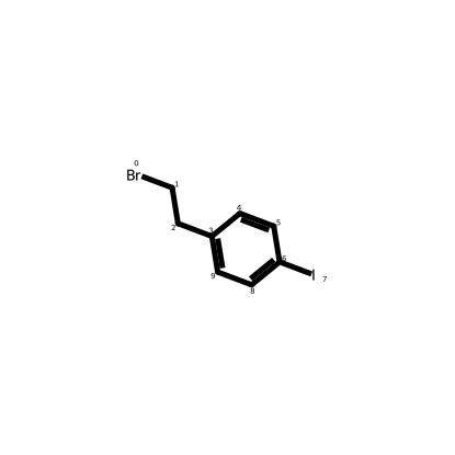 BrCCc1ccc(I)cc1